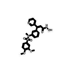 COc1ccc(S(=O)(=O)N(C)c2cccc(/C(=C\C(=O)NO)c3cccnc3)c2)cc1OC